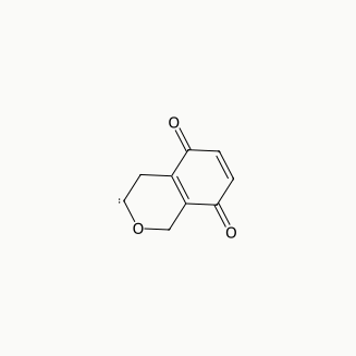 O=C1C=CC(=O)C2=C1C[C]OC2